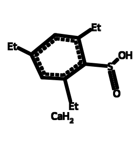 CCc1cc(CC)c(S(=O)O)c(CC)c1.[CaH2]